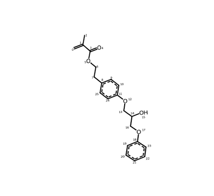 C=C(C)C(=O)OCCc1ccc(OCC(O)COc2ccccc2)cc1